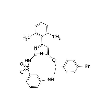 Cc1cccc(C)c1-c1cc2nc(n1)NS(=O)(=O)c1cccc(c1)NCC(c1ccc(C(C)C)cc1)O2